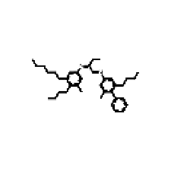 CCCCCCc1cc(N=C(C=Nc2cc(C)c(-c3ccccc3)c(CCCC)c2)CC)cc(C)c1CCCC